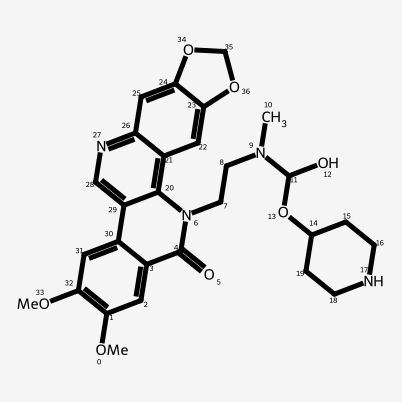 COc1cc2c(=O)n(CCN(C)C(O)OC3CCNCC3)c3c4cc5c(cc4ncc3c2cc1OC)OCO5